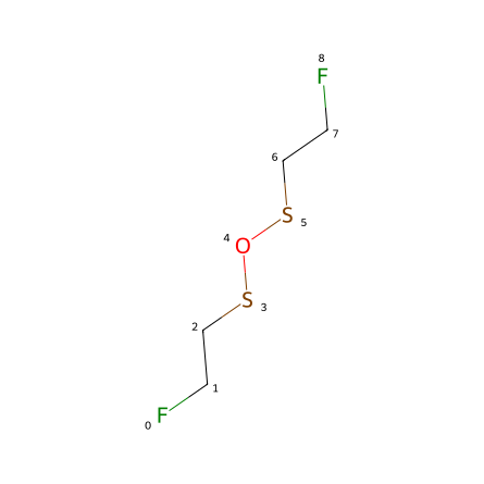 FCCSOSCCF